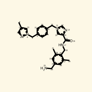 Cc1cnn(Cc2ccc(Cn3cnc(C(=O)NCc4c(C)cc(CN)cc4C)c3)cc2)c1